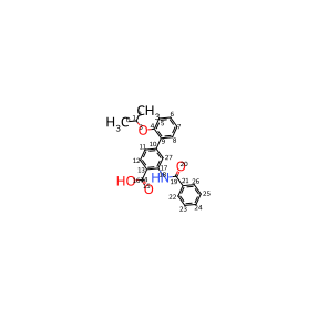 CC(C)Oc1ccccc1-c1ccc(C(=O)O)c(NC(=O)c2ccccc2)c1